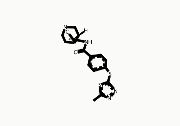 Cc1nnc(Sc2ccc(C(=O)N[C@H]3CN4CCC3CC4)cc2)s1